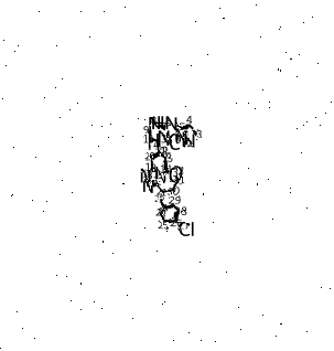 Cn1nccc1Nc1nccc(-c2cc3n4c(nnc4c2)[C@@H](Cc2ccc(Cl)cc2)CCO3)n1